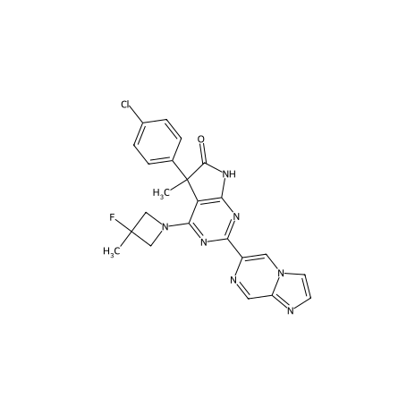 CC1(F)CN(c2nc(-c3cn4ccnc4cn3)nc3c2C(C)(c2ccc(Cl)cc2)C(=O)N3)C1